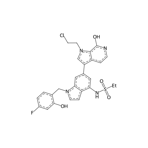 CCS(=O)(=O)Nc1cc(-c2cn(CCCl)c3c(O)nccc23)cc2c1ccn2Cc1ccc(F)cc1O